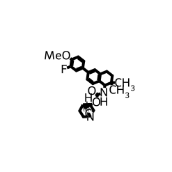 COc1ccc(-c2ccc3c(c2)CCC(C)(C)C3NC(=O)O[C@H]2CN3CCC2CC3)cc1F